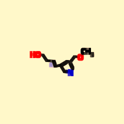 COCc1cncc(/C=C/CCO)c1